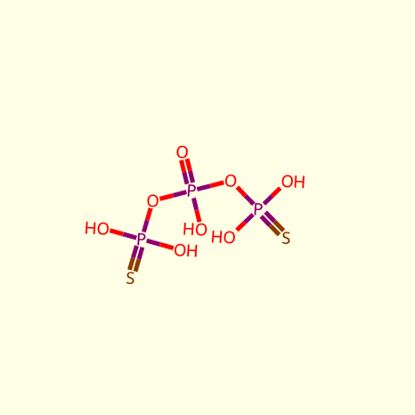 O=P(O)(OP(O)(O)=S)OP(O)(O)=S